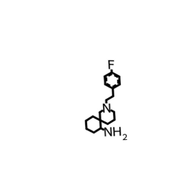 NC1CCCCC12CCCN(CCc1ccc(F)cc1)C2